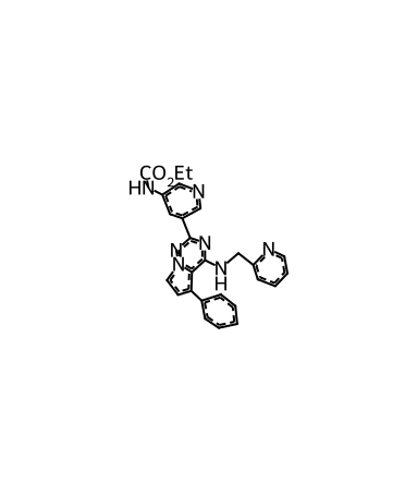 CCOC(=O)Nc1cncc(-c2nc(NCc3ccccn3)c3c(-c4ccccc4)ccn3n2)c1